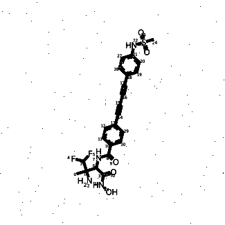 CC(N)(C(F)F)C(NC(=O)c1ccc(C#CC#Cc2ccc(NS(C)(=O)=O)cc2)cc1)C(=O)NO